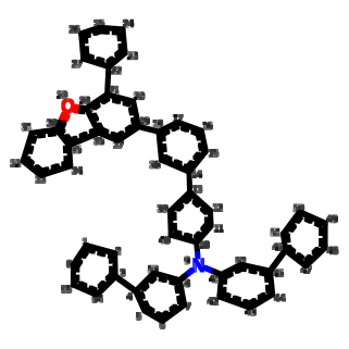 c1ccc(-c2cccc(N(c3ccc(-c4cccc(-c5cc(-c6ccccc6)c6oc7ccccc7c6c5)c4)cc3)c3cccc(-c4ccccc4)c3)c2)cc1